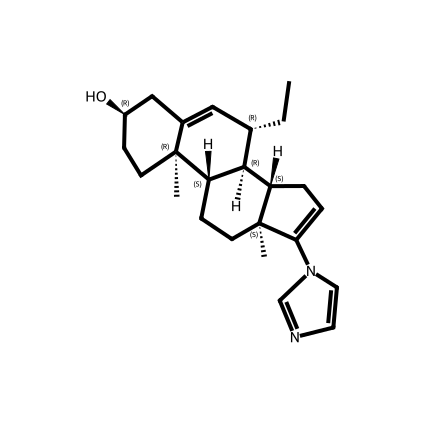 CC[C@H]1C=C2C[C@H](O)CC[C@]2(C)[C@H]2CC[C@]3(C)C(n4ccnc4)=CC[C@H]3[C@H]12